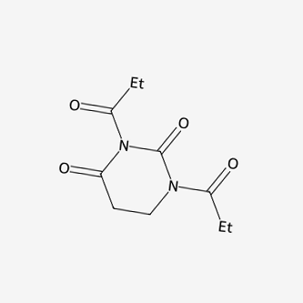 CCC(=O)N1CCC(=O)N(C(=O)CC)C1=O